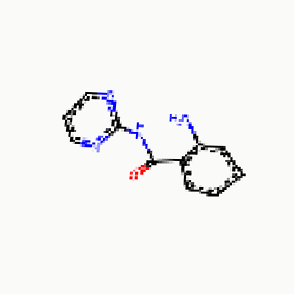 Nc1ccccc1C(=O)Nc1ncccn1